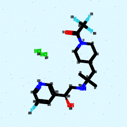 CC(C)(CC1CCN(C(=O)C(F)(F)F)CC1)NC[C@H](O)c1cncc(F)c1.Cl.Cl